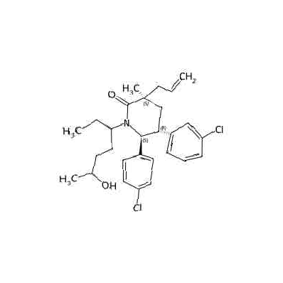 C=CC[C@@]1(C)C[C@H](c2cccc(Cl)c2)[C@@H](c2ccc(Cl)cc2)N(C(CC)CCC(C)O)C1=O